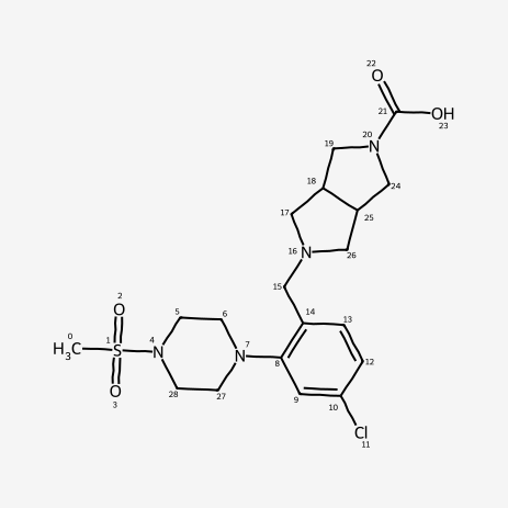 CS(=O)(=O)N1CCN(c2cc(Cl)ccc2CN2CC3CN(C(=O)O)CC3C2)CC1